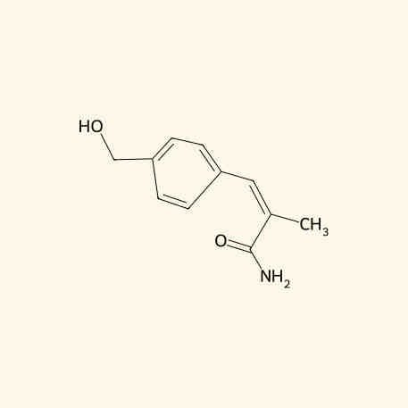 CC(=Cc1ccc(CO)cc1)C(N)=O